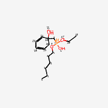 CCCCCCO[PH](O)(CC1(O)C=CC=CC1)OCC